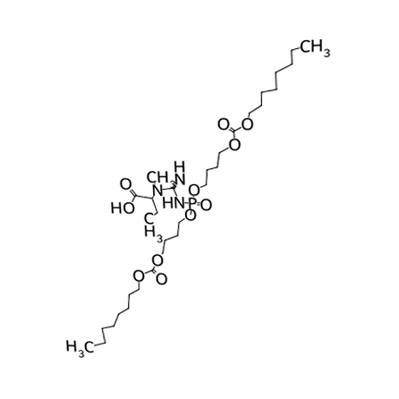 CCCCCCCCOC(=O)OCCCCOP(=O)(NC(=N)N(C)C(CC)C(=O)O)OCCCCOC(=O)OCCCCCCCC